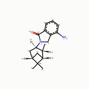 C[C@H]1[C@H](N2Cc3c(N)cccc3C2=O)C[C@@H]2C[C@H]1C2(C)C